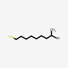 CC(C)C(C)CCCCCCCS